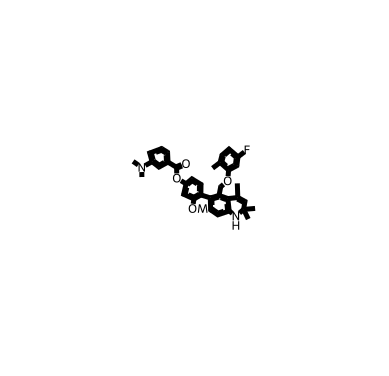 COc1cc(OC(=O)c2cccc(N(C)C)c2)ccc1-c1ccc2c(c1COc1cc(F)ccc1C)C(C)=CC(C)(C)N2